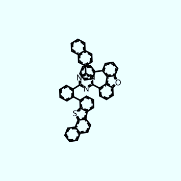 c1ccc(-c2cccc3oc4cccc(-c5nc(-c6ccc7ccccc7c6)nc(-c6ccccc6-c6cccc7c6sc6c8ccccc8ccc76)n5)c4c23)cc1